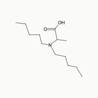 CCCCCN(CCCCC)C(C)C(=O)O